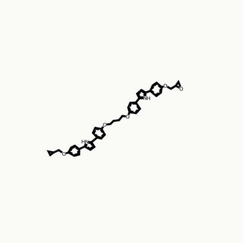 c1cc(-c2ccc(-c3ccc(OCC4CC4)cc3)[nH]2)ccc1OCCCCOc1ccc(-c2ccc(-c3ccc(OCC4CO4)cc3)[nH]2)cc1